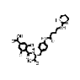 O=C(CCCNC1=NCCCN1)Nc1ccc(C[C@H](NC(=O)c2c(Cl)cc(C(=O)O)cc2Cl)C(=O)O)cc1